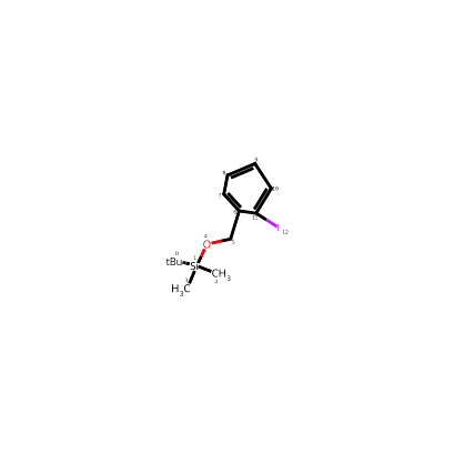 CC(C)(C)[Si](C)(C)OCc1ccccc1I